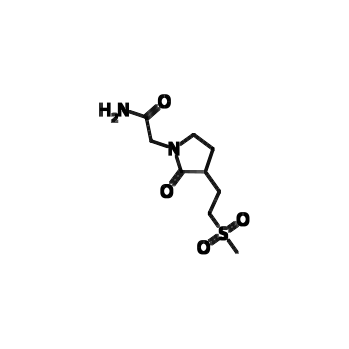 CS(=O)(=O)CCC1CCN(CC(N)=O)C1=O